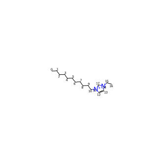 CCCCCCCCCCC[n+]1ccn(CC)c1